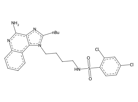 CCCCc1nc2c(N)nc3ccccc3c2n1CCCCNS(=O)(=O)c1ccc(Cl)cc1Cl